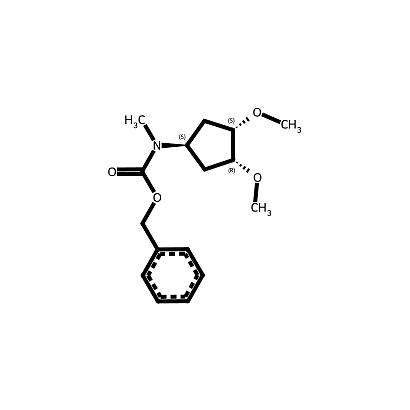 CO[C@H]1C[C@H](N(C)C(=O)OCc2ccccc2)C[C@H]1OC